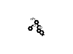 CCCc1ccc(C2=Cc3ccc4c(c3OC2)C=CC(C)(C)C4)c(OCc2ccccc2)c1